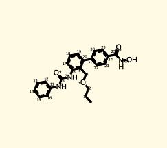 CCCOCc1c(NC(=O)Nc2ccccc2)cccc1-c1ccc(C(=O)NO)cc1